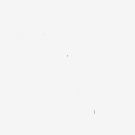 C=CCc1cc(OC)c2c(c1)OCO2.CCC(=O)O